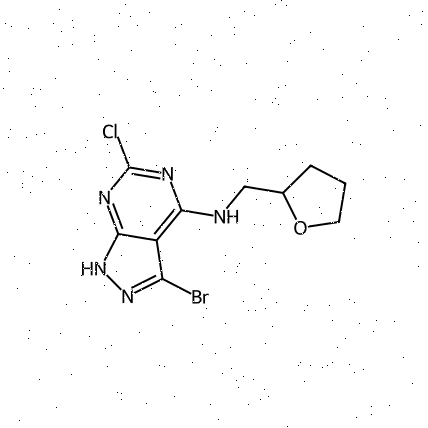 Clc1nc(NCC2CCCO2)c2c(Br)n[nH]c2n1